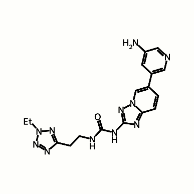 CCn1nnc(CCNC(=O)Nc2nc3ccc(-c4cncc(N)c4)cn3n2)n1